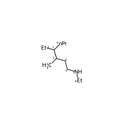 CCCC(CC)C(C)CCNCC